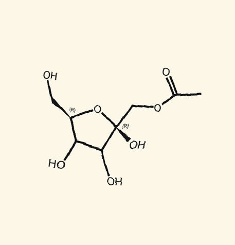 CC(=O)OC[C@@]1(O)O[C@H](CO)C(O)C1O